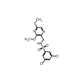 COc1nc(SC)cnc1CNS(=O)(=O)c1cc(Cl)cc(Cl)c1